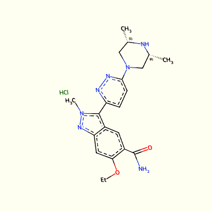 CCOc1cc2nn(C)c(-c3ccc(N4C[C@@H](C)N[C@@H](C)C4)nn3)c2cc1C(N)=O.Cl